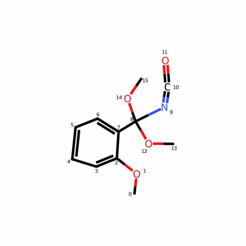 COc1ccccc1C(N=C=O)(OC)OC